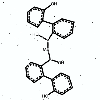 Oc1ccccc1-c1ccccc1[P](O)[Mg][P](O)c1ccccc1-c1ccccc1O